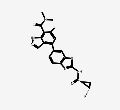 CN(C)C(=O)c1c(F)cc(-c2ccc3nc(NC(=O)[C@@H]4C[C@@H]4F)sc3c2)c2cn[nH]c12